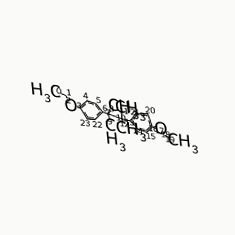 CCOc1ccc(C(C)(C)C(C)(C)c2ccc(OCC)cc2)cc1